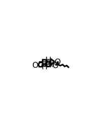 CCCCCC(=O)O[C@H]1CC[C@H]2[C@@H]3CCC4=CC(=O)CC[C@@H]4[C@H]3CC[C@]12C